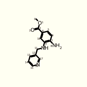 COC(=O)c1ccc(N)c(NCc2cccnc2)c1